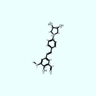 COc1cc(/C=C/c2ccc(N3CC(O)C(O)C3)cc2)cc(C=O)c1O